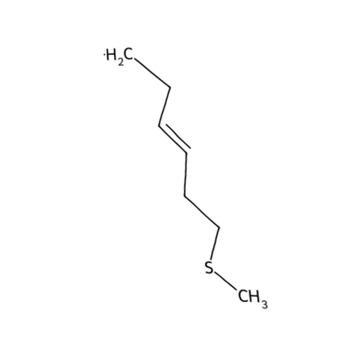 [CH2]CC=CCCSC